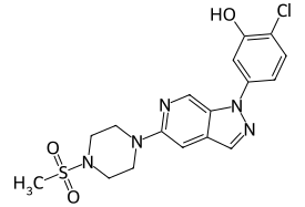 CS(=O)(=O)N1CCN(c2cc3cnn(-c4ccc(Cl)c(O)c4)c3cn2)CC1